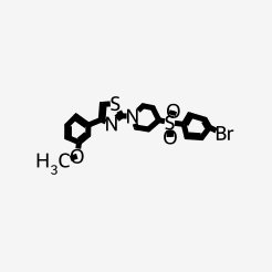 COc1cccc(-c2csc(N3CCC(S(=O)(=O)c4ccc(Br)cc4)CC3)n2)c1